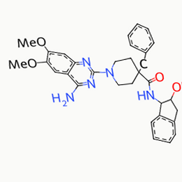 COc1cc2nc(N3CCC(Cc4ccccc4)(C(=O)NC4c5ccccc5CC4O)CC3)nc(N)c2cc1OC